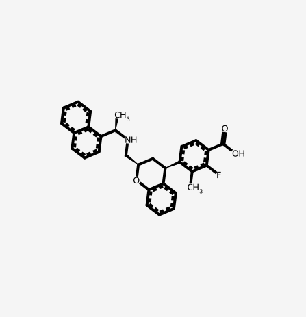 Cc1c([C@@H]2C[C@H](CN[C@H](C)c3cccc4ccccc34)Oc3ccccc32)ccc(C(=O)O)c1F